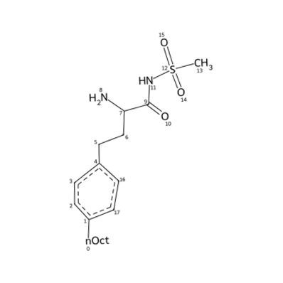 CCCCCCCCc1ccc(CCC(N)C(=O)NS(C)(=O)=O)cc1